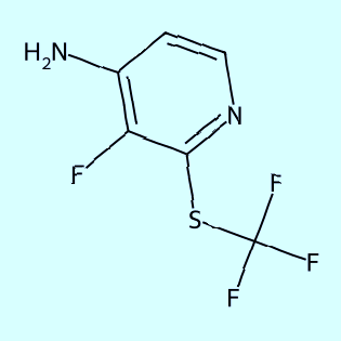 Nc1ccnc(SC(F)(F)F)c1F